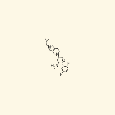 N[C@H]1C[C@@H](N2CCC3=C(CN(CC4CC4)C3)C2)CO[C@@H]1c1cc(F)ccc1F